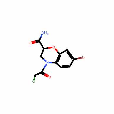 NC(=O)C1CN(C(=O)CCl)c2ccc(Br)cc2O1